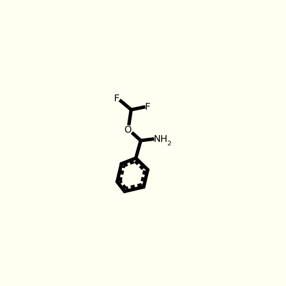 NC(OC(F)F)c1ccccc1